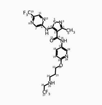 Cc1nsc(Nc2cnc(C(F)(F)F)cn2)c1C(=O)Nc1ccc(OCCCNCC(F)(F)F)nc1